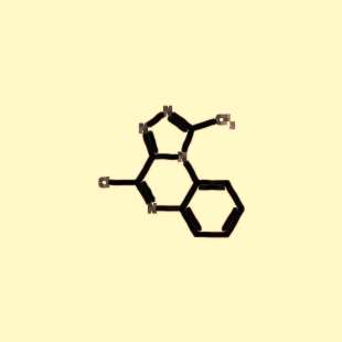 FC(F)(F)c1nnc2c(Cl)nc3ccccc3n12